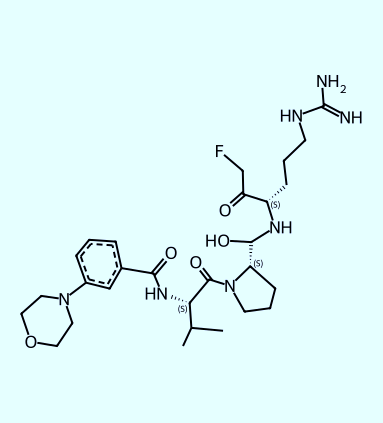 CC(C)[C@H](NC(=O)c1cccc(N2CCOCC2)c1)C(=O)N1CCC[C@H]1C(O)N[C@@H](CCCNC(=N)N)C(=O)CF